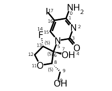 Nc1nc(=O)n([C@]2(O)[C@H](CO)OC[C@@H]2F)cc1I